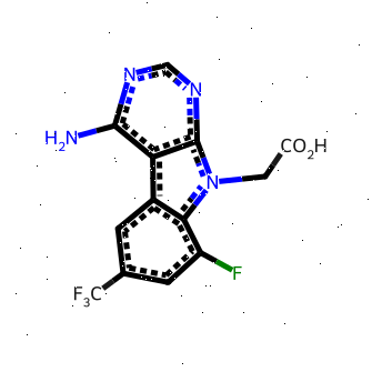 Nc1ncnc2c1c1cc(C(F)(F)F)cc(F)c1n2CC(=O)O